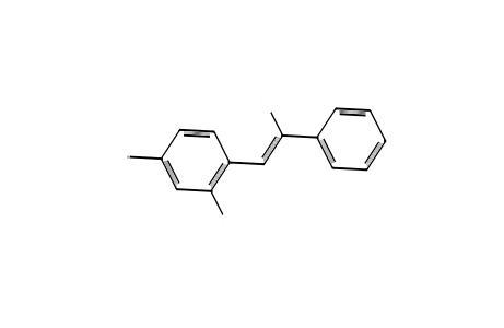 O=C/C(=C\c1ccc(Cl)cc1Cl)c1ccccc1